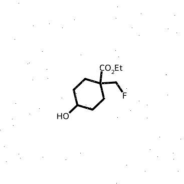 CCOC(=O)C1(CF)CCC(O)CC1